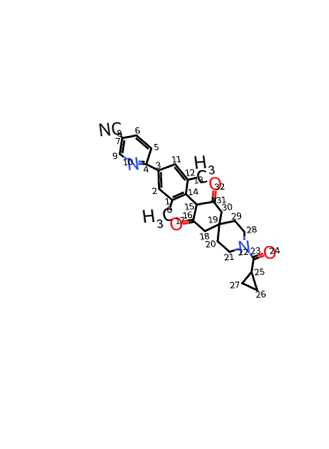 Cc1cc(-c2ccc(C#N)cn2)cc(C)c1C1C(=O)CC2(CCN(C(=O)C3CC3)CC2)CC1=O